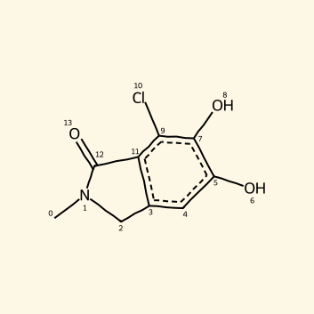 CN1Cc2cc(O)c(O)c(Cl)c2C1=O